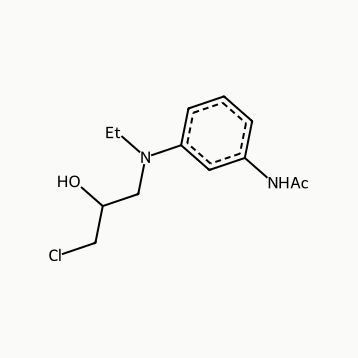 CCN(CC(O)CCl)c1cccc(NC(C)=O)c1